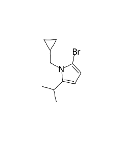 CC(C)c1ccc(Br)n1CC1CC1